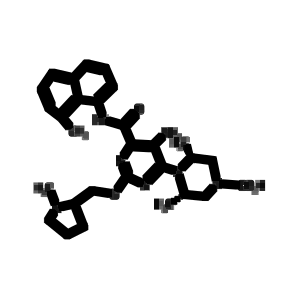 Cc1cccc2cccc(NC(=O)c3nc(OCC4CCCN4C)nc(N4[C@@H](C)CN(C(=O)O)C[C@@H]4C)c3N)c12